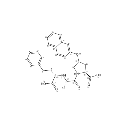 C[C@H](N[C@@H](CCc1ccccc1)C(=O)O)C(=O)N1CC(Oc2ccc3ccccc3c2)C[C@H]1C(=O)O